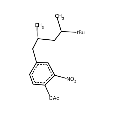 CC(=O)Oc1ccc(C[C@H](C)CC(C)C(C)(C)C)cc1[N+](=O)[O-]